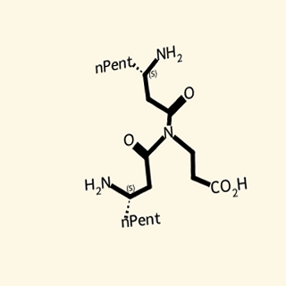 CCCCC[C@H](N)CC(=O)N(CCC(=O)O)C(=O)C[C@@H](N)CCCCC